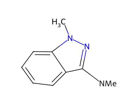 CNc1nn(C)c2ccccc12